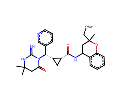 COCC1(C)CC(NC(=O)[C@@H]2CC2[C@@H](c2cccnc2)N2C(=N)NC(C)(C)CC2=O)c2ccccc2O1